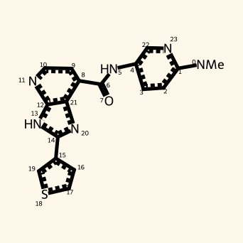 CNc1ccc(NC(=O)c2ccnc3[nH]c(-c4ccsc4)nc23)cn1